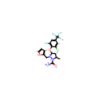 CC1CC(Oc2c(F)cc(C(F)(F)F)cc2Cl)N(Cc2ccco2)N1C(N)=O